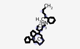 C=C/C=C\C=C(/C)C1=C(N/C=C/C=C(\C=C/C)C2=c3\cccc\c3=C(c3ccccc3)\C=C\C=C/C=C(\C)C\2)CC=CC=C1